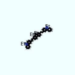 CCn1c2c(c3cc(/C=C/c4ccc5c(c4)C(CC)(CC)c4cc(/C=C/c6ccc7c(c6)c6c(n7CC)CCC=C6)ccc4-5)ccc31)C=CCC2